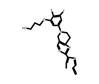 C=C/C=N\C(=C/C)c1ncc2c(n1)CCN(c1cc(F)c(F)c(OCCCO)c1)C2